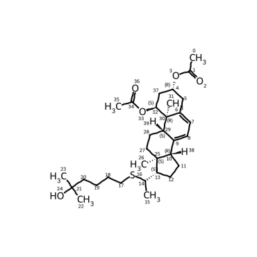 CC(=O)O[C@@H]1CC2=CC=C3[C@@H]4CC[C@H](C(C)SCCCCC(C)(C)O)[C@@]4(C)CC[C@@H]3[C@@]2(C)[C@@H](OC(C)=O)C1